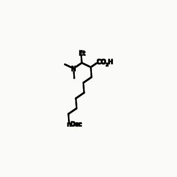 CCCCCCCCCCCCCCCCC(C(=O)O)C(CC)N(C)C